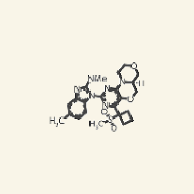 CNc1nc2cc(C)ccc2n1-c1nc2c(c(C3(S(C)(=O)=O)CCC3)n1)OC[C@@H]1COCCN21